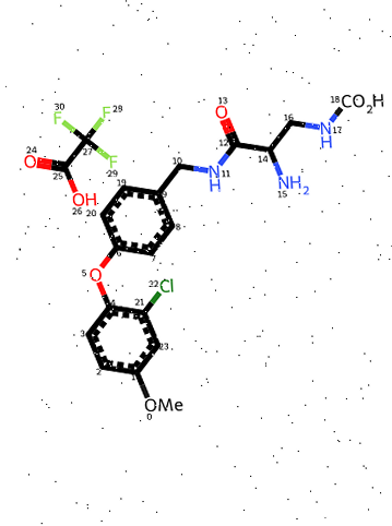 COc1ccc(Oc2ccc(CNC(=O)C(N)CNC(=O)O)cc2)c(Cl)c1.O=C(O)C(F)(F)F